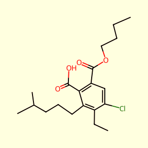 CCCCOC(=O)c1cc(Cl)c(CC)c(CCCC(C)C)c1C(=O)O